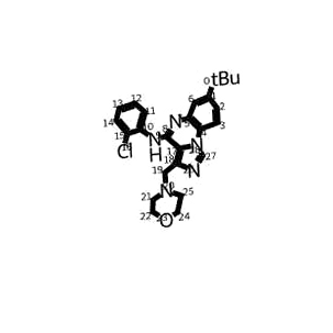 CC(C)(C)c1ccc2c(c1)nc(Nc1ccccc1Cl)c1c(CN3CCOCC3)ncn12